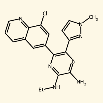 CCNc1nc(-c2cc(Cl)c3ncccc3c2)c(-c2ccn(C)n2)nc1N